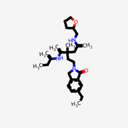 C=C(CC(C)(CCN1Cc2ccc(CC)cc2C1=O)C(=C)NC(=C)CC)NCC1CCCO1